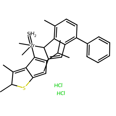 CC1=Cc2c(-c3ccccc3)ccc(C)c2[CH]1[Zr]([CH3])([CH3])(=[SiH2])[C]1=C(C(C)C)C=C2SC(C)C(C)=C21.Cl.Cl